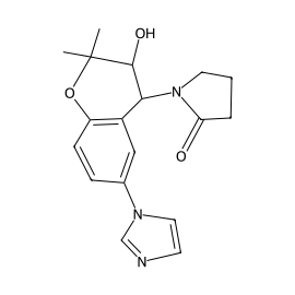 CC1(C)Oc2ccc(-n3ccnc3)cc2C(N2CCCC2=O)C1O